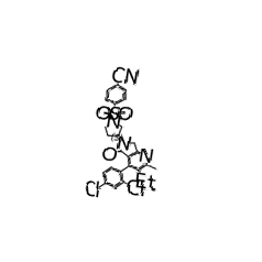 CCc1c(C)nc2c(c1-c1ccc(Cl)cc1Cl)C(=O)N([C@H]1CCN(S(=O)(=O)c3ccc(C#N)cc3)C1)C2